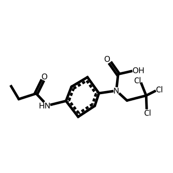 CCC(=O)Nc1ccc(N(CC(Cl)(Cl)Cl)C(=O)O)cc1